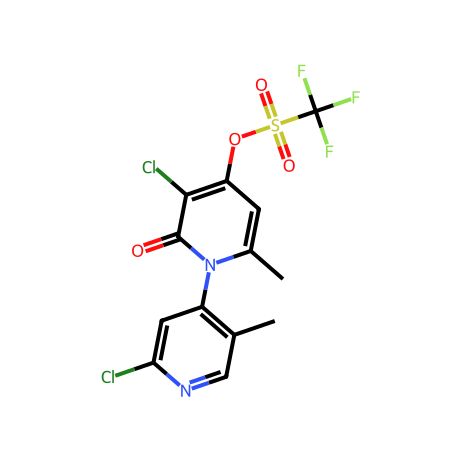 Cc1cnc(Cl)cc1-n1c(C)cc(OS(=O)(=O)C(F)(F)F)c(Cl)c1=O